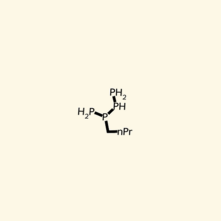 CCCCP(P)PP